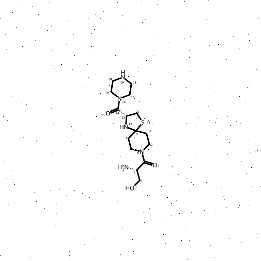 N[C@@H](CO)C(=O)N1CCC2(CC1)N[C@H](C(=O)N1CCNCC1)CS2